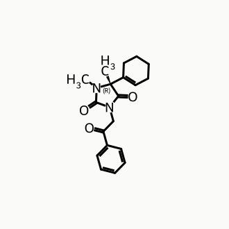 CN1C(=O)N(CC(=O)c2ccccc2)C(=O)[C@@]1(C)C1=CCCCC1